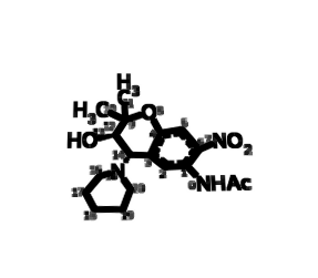 CC(=O)Nc1cc2c(cc1[N+](=O)[O-])OC(C)(C)[C@H](O)[C@H]2N1CCCCC1